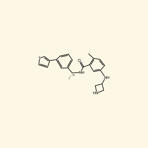 Cc1ccc(NC2CNC2)cc1C(=O)N[C@H](C)c1cccc(-c2ccsc2)c1